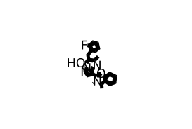 Cc1nc2c(C(=O)N(C)C(C)c3ccccc3)cnn2c(O)c1Cc1ccccc1F